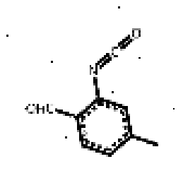 Cc1ccc([C]=O)c(N=C=O)c1